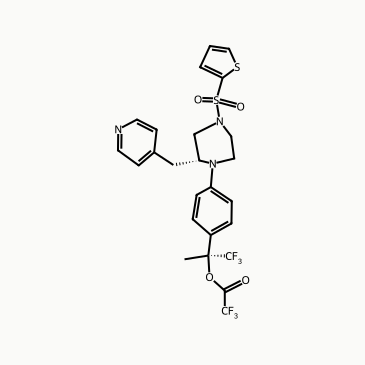 C[C@](OC(=O)C(F)(F)F)(c1ccc(N2CCN(S(=O)(=O)c3cccs3)C[C@H]2Cc2ccncc2)cc1)C(F)(F)F